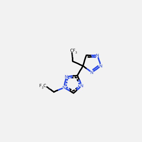 FC(F)(F)Cn1cnc(C2(CC(F)(F)F)C=NN=N2)n1